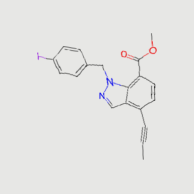 CC#Cc1ccc(C(=O)OC)c2c1cnn2Cc1ccc(I)cc1